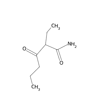 CCCC(=O)C(CC)C(N)=O